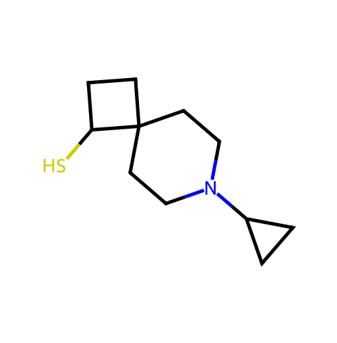 SC1CCC12CCN(C1CC1)CC2